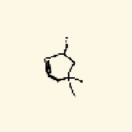 CC1(C)CC=C[C](F)C1